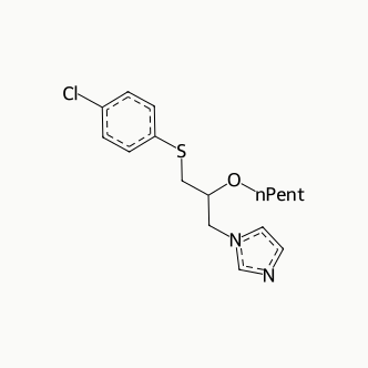 CCCCCOC(CSc1ccc(Cl)cc1)Cn1ccnc1